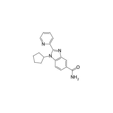 NC(=O)c1ccc2c(c1)nc(-c1ccccn1)n2C1CCCC1